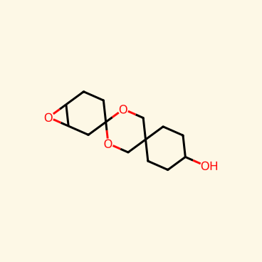 OC1CCC2(CC1)COC1(CCC3OC3C1)OC2